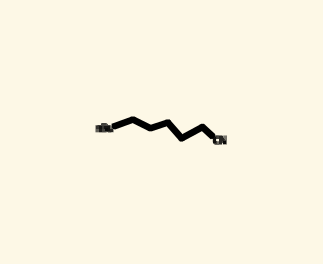 CCCCCCCCCC#N